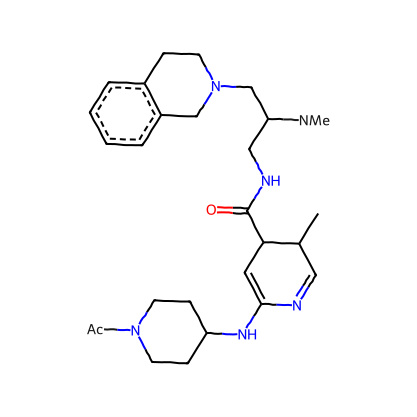 CNC(CNC(=O)C1C=C(NC2CCN(C(C)=O)CC2)N=CC1C)CN1CCc2ccccc2C1